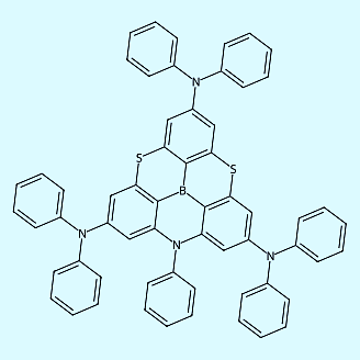 c1ccc(N(c2ccccc2)c2cc3c4c(c2)Sc2cc(N(c5ccccc5)c5ccccc5)cc5c2B4c2c(cc(N(c4ccccc4)c4ccccc4)cc2N5c2ccccc2)S3)cc1